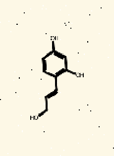 OC/C=C/c1ccc(O)cc1O